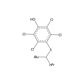 CCCC(Sc1c(Cl)c(Cl)c(O)c(Cl)c1Cl)C(C)CC